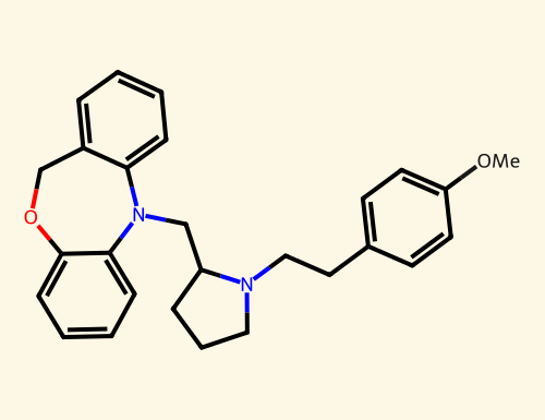 COc1ccc(CCN2CCCC2CN2c3ccccc3COc3ccccc32)cc1